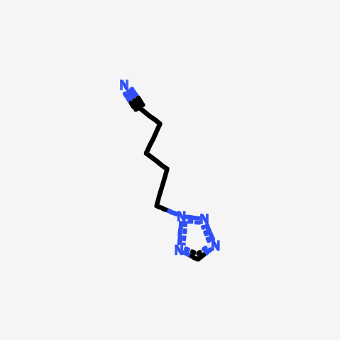 N#CCCCCn1ncnn1